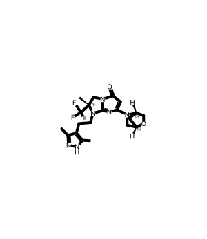 Cc1n[nH]c(C)c1CCN1c2nc(N3C[C@@H]4C[C@H]3CO4)cc(=O)n2C[C@@]1(C)C(F)(F)F